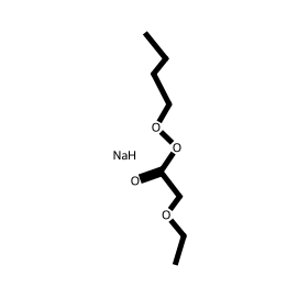 CCCCOOC(=O)COCC.[NaH]